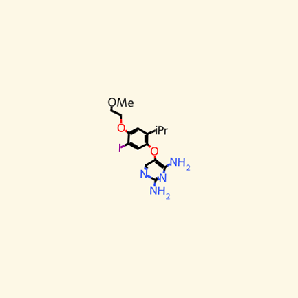 COCCOc1cc(C(C)C)c(Oc2cnc(N)nc2N)cc1I